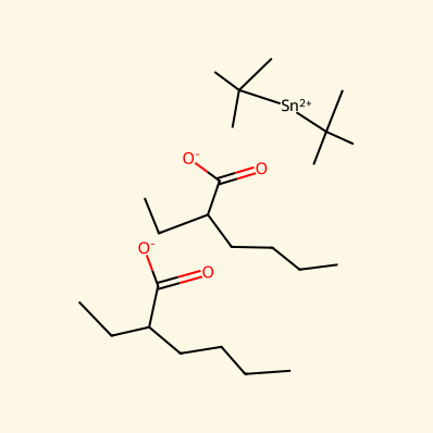 CCCCC(CC)C(=O)[O-].CCCCC(CC)C(=O)[O-].C[C](C)(C)[Sn+2][C](C)(C)C